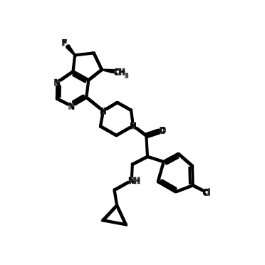 C[C@@H]1C[C@H](F)c2ncnc(N3CCN(C(=O)C(CNCC4CC4)c4ccc(Cl)cc4)CC3)c21